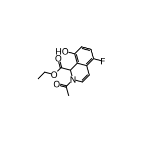 CCOC(=O)C1c2c(O)ccc(F)c2C=CN1C(C)=O